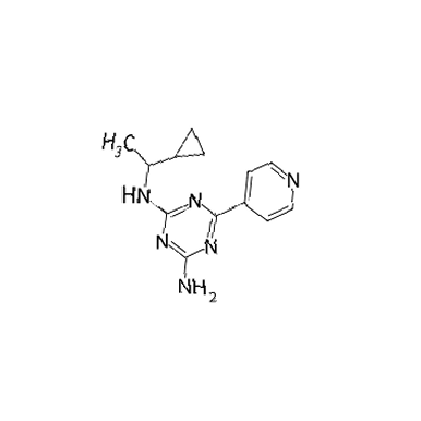 CC(Nc1nc(N)nc(-c2ccncc2)n1)C1CC1